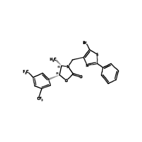 C[C@H]1[C@@H](c2cc(C(F)(F)F)cc(C(F)(F)F)c2)OC(=O)N1Cc1nc(-c2ccccc2)sc1Br